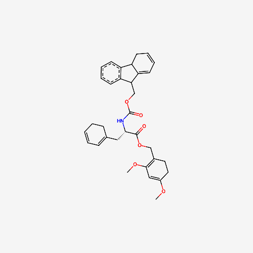 COC1=CC(OC)=C(COC(=O)[C@H](CC2=CC=CCC2)NC(=O)OCC2C3=CC=CCC3c3ccccc32)CC1